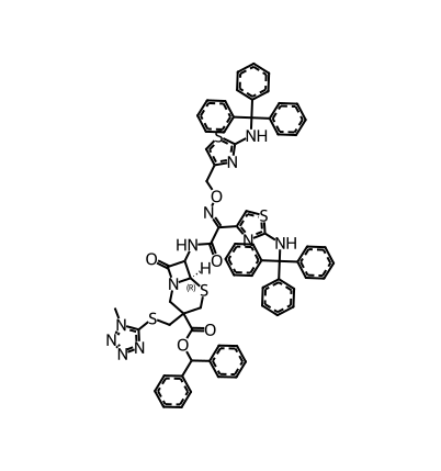 Cn1nnnc1SCC1(C(=O)OC(c2ccccc2)c2ccccc2)CS[C@@H]2C(NC(=O)C(=NOCc3csc(NC(c4ccccc4)(c4ccccc4)c4ccccc4)n3)c3csc(NC(c4ccccc4)(c4ccccc4)c4ccccc4)n3)C(=O)N2C1